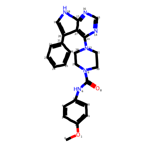 COc1ccc(NC(=O)N2CCN(c3ncnc4[nH]cc(-c5ccccc5)c34)CC2)cc1